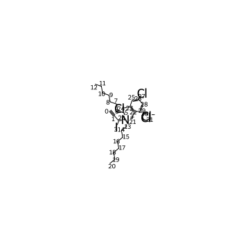 C#CC(I)[N+](CCCCCCCC)(CCCCCCCC)Cc1c(Cl)cc(Cl)cc1Cl.[Cl-]